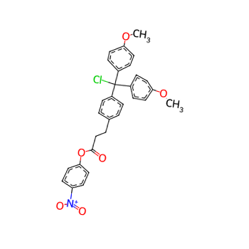 COc1ccc(C(Cl)(c2ccc(CCC(=O)Oc3ccc([N+](=O)[O-])cc3)cc2)c2ccc(OC)cc2)cc1